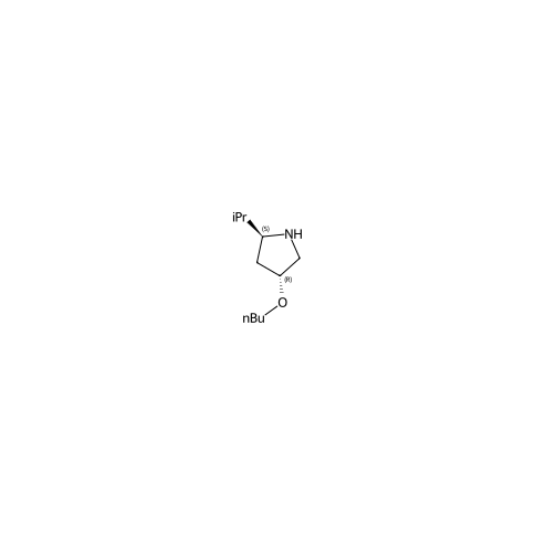 CCCCO[C@H]1CN[C@H](C(C)C)C1